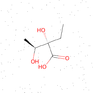 CC[C@@](O)(C(=O)O)[C@H](C)O